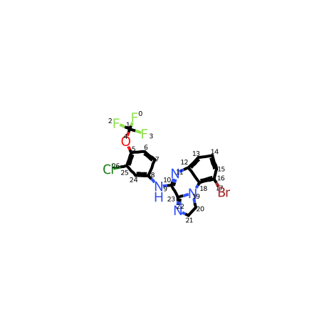 FC(F)(F)Oc1ccc(NC2=Nc3cccc(Br)c3N3CCN=C23)cc1Cl